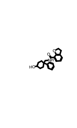 O=C(NCC1(c2ccccc2)CCC(O)CC1)c1cccc2c1OCC2